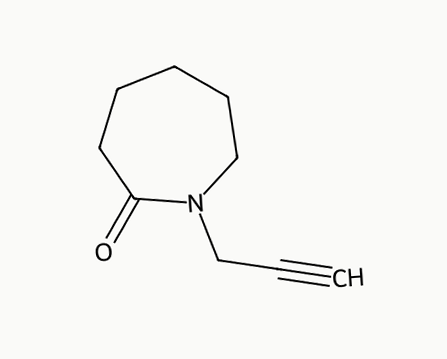 C#CCN1CCCCCC1=O